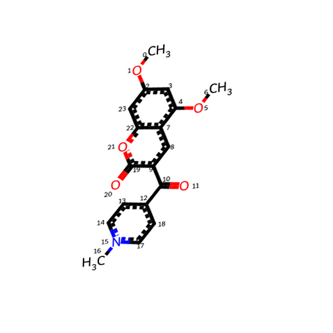 COc1cc(OC)c2cc(C(=O)c3cc[n+](C)cc3)c(=O)oc2c1